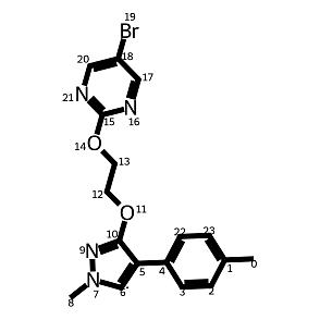 Cc1ccc(-c2[c]n(C)nc2OCCOc2ncc(Br)cn2)cc1